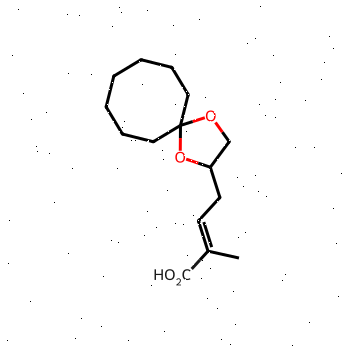 CC(=CCC1COC2(CCCCCCC2)O1)C(=O)O